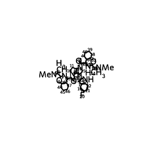 CN[C@@H](C)C(=O)N[C@H](C(=O)N1CCC2[C@H]1[C@@H](c1cc3cc(F)ccc3[nH]1)CN2C(=O)[C@@H](NC(=O)[C@H](C)NC)C1CCCCC1)C1=CCCCC1